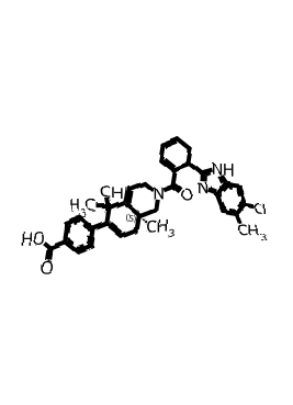 Cc1cc2nc(C3CC=CC=C3C(=O)N3CC=C4C(C)(C)C(c5ccc(C(=O)O)cc5)=CC[C@]4(C)C3)[nH]c2cc1Cl